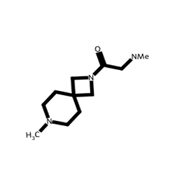 CNCC(=O)N1CC2(CCN(C)CC2)C1